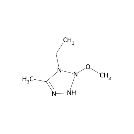 CCN1C(C)=NNN1OC